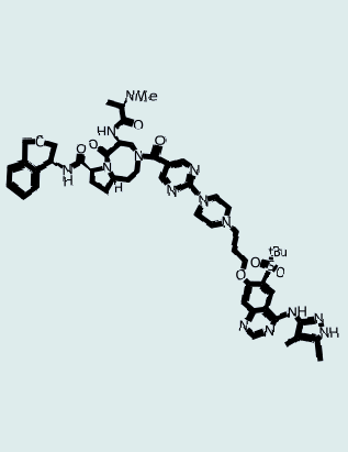 CN[C@@H](C)C(=O)N[C@H]1CN(C(=O)c2cnc(N3CCN(CCCOc4cc5ncnc(Nc6n[nH]c(C)c6C)c5cc4S(=O)(=O)C(C)(C)C)CC3)nc2)CC[C@H]2CC[C@@H](C(=O)N[C@@H]3CCCc4ccccc43)N2C1=O